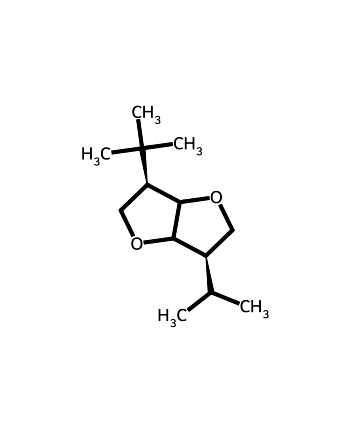 CC(C)[C@@H]1COC2C1OC[C@H]2C(C)(C)C